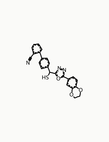 N#Cc1ccccc1-c1ccc(C(S)c2nnc(-c3ccc4c(c3)OCCO4)o2)cc1